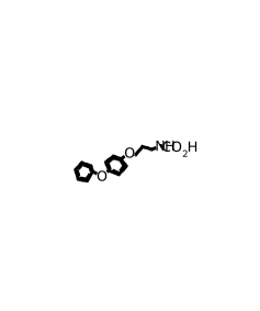 O=C(O)NCCCOc1ccc(Oc2ccccc2)cc1